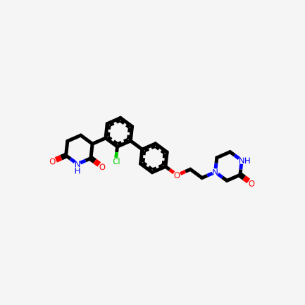 O=C1CN(CCOc2ccc(-c3cccc(C4CCC(=O)NC4=O)c3Cl)cc2)CCN1